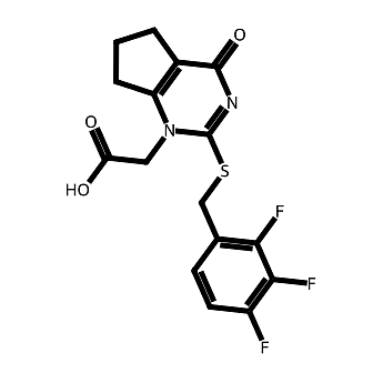 O=C(O)Cn1c(SCc2ccc(F)c(F)c2F)nc(=O)c2c1CCC2